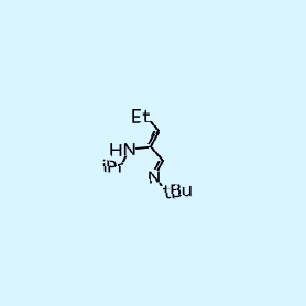 CCC=C(C=NC(C)(C)C)NC(C)C